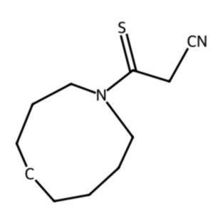 N#CCC(=S)N1CCCCCCCC1